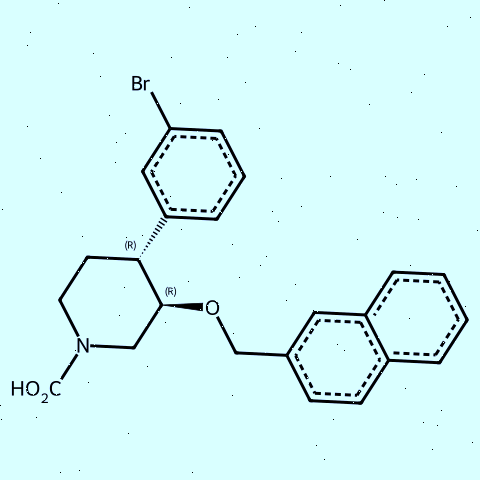 O=C(O)N1CC[C@H](c2cccc(Br)c2)[C@@H](OCc2ccc3ccccc3c2)C1